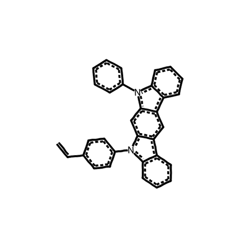 C=Cc1ccc(-n2c3ccccc3c3cc4c5ccccc5n(-c5ccccc5)c4cc32)cc1